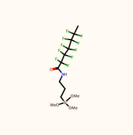 CO[Si](CCCNC(=O)C(F)(F)C(F)(F)C(F)(F)C(F)(F)C(C)(F)F)(OC)OC